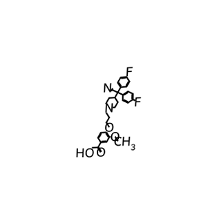 COc1cc(C(=O)CO)ccc1OCCCN1CCC(C(C#N)(c2ccc(F)cc2)c2ccc(F)cc2)CC1